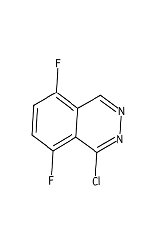 Fc1ccc(F)c2c(Cl)nncc12